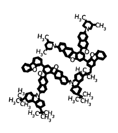 CC1CC(C)CN(c2ccc3cc4c(cc3c2)oc2cc(-c3cc(CC(C)(C)c5ccc6c(c5)c5cc(C(C)(C)C)ccc5n6-c5ccc6cc7c(cc6c5)oc5cc(-c6cccc8c6oc6ccccc68)c6oc8cc9cc(-n%10c%11ccc(C(C)(C)C)cc%11c%11cc(C(C)(C)C)ccc%11%10)ccc9cc8c6c57)cc5c3oc3ccccc35)c3oc5cc6cc(N7CC(C)CC(C)C7)ccc6cc5c3c24)C1